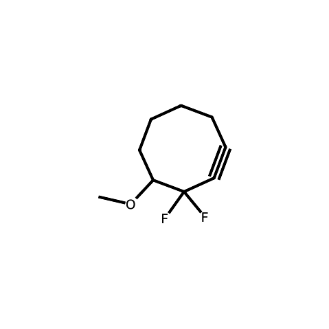 COC1CCCCC#CC1(F)F